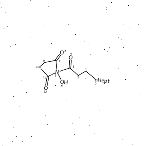 CCCCCCCCCC(=O)[N+]1(O)C(=O)CCC1=O